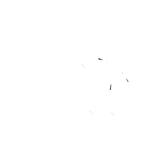 Nc1cc([C@H]2[C@H](C(=O)Nc3ccc(Cl)c(Cl)c3)[C@@H]3CC[C@H]2O3)ccn1